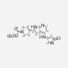 CCn1cc(Nc2ccnc3[nH]c(C4=CCN(C(=O)OC(C)(C)C)CC4)cc23)cn1